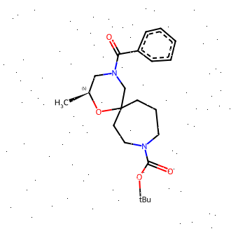 C[C@H]1CN(C(=O)c2ccccc2)CC2(CCCN(C(=O)OC(C)(C)C)CC2)O1